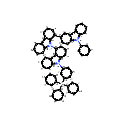 c1ccc(-n2c3ccccc3c3cc(-c4cccc5c6ccccc6n(-c6cccc7c6c6ccccc6n7-c6cccc([Si](c7ccccc7)(c7ccccc7)c7ccccc7)c6)c45)ccc32)cc1